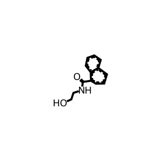 O=C(NCCO)c1cccc2ccccc12